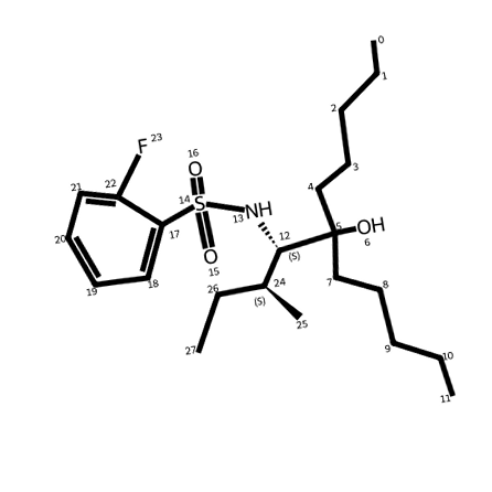 CCCCCC(O)(CCCCC)[C@@H](NS(=O)(=O)c1ccccc1F)[C@@H](C)CC